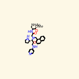 COC(=O)[C@H](CNC(C)=O)NC(=O)CN(Cc1cccc2ccccc12)C(C(=O)CNc1ccncc1)[C@@H]1CCCN1